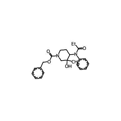 CCC(=O)N(c1ccccc1)C1CCN(C(=O)OCc2ccccc2)CC1(C)O